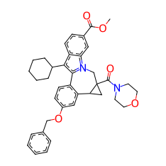 COC(=O)c1ccc2c(C3CCCCC3)c3n(c2c1)CC1(C(=O)N2CCOCC2)CC1c1cc(OCc2ccccc2)ccc1-3